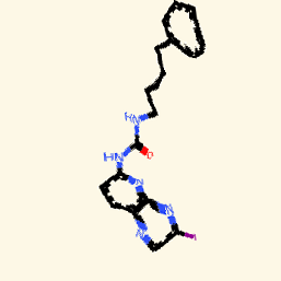 O=C(NCCCCc1ccccc1)Nc1ccc2ncc(I)nc2n1